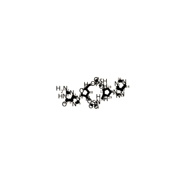 Nc1nc2c(ncn2[C@H]2O[C@@H]3CO[P@@](=O)(S)O[C@H]4C[C@H](n5nnc6cncnc65)C[C@@H]4CNS(=O)(=O)O[C@@H]2C3)c(=O)[nH]1